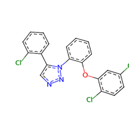 Clc1ccc(Cl)c(Oc2ccccc2-n2nncc2-c2ccccc2Cl)c1